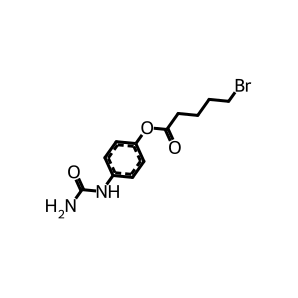 NC(=O)Nc1ccc(OC(=O)CCCCBr)cc1